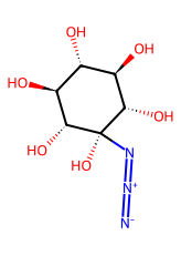 [N-]=[N+]=N[C@@]1(O)[C@H](O)[C@@H](O)[C@H](O)[C@@H](O)[C@@H]1O